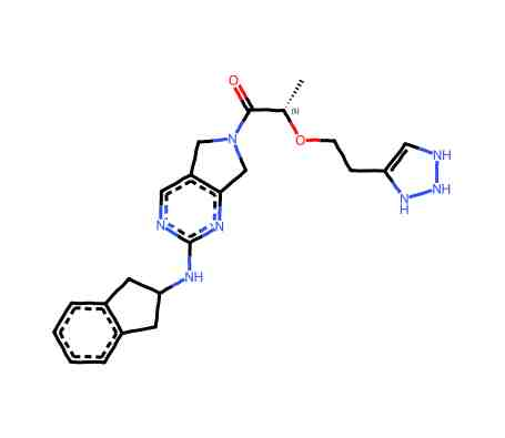 C[C@H](OCCC1=CNNN1)C(=O)N1Cc2cnc(NC3Cc4ccccc4C3)nc2C1